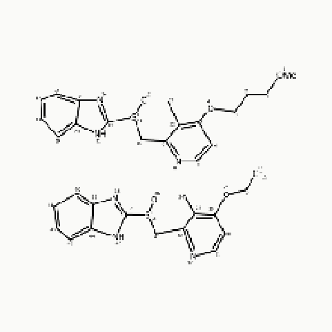 COCCCOc1ccnc(C[S+]([O-])c2nc3ccccc3[nH]2)c1C.Cc1c(OCC(F)(F)F)ccnc1C[S+]([O-])c1nc2ccccc2[nH]1